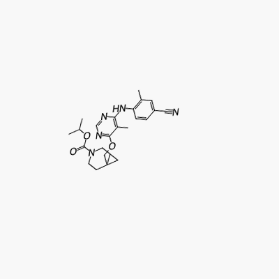 Cc1cc(C#N)ccc1Nc1ncnc(OCC23CCN(C(=O)OC(C)C)CC2C3)c1C